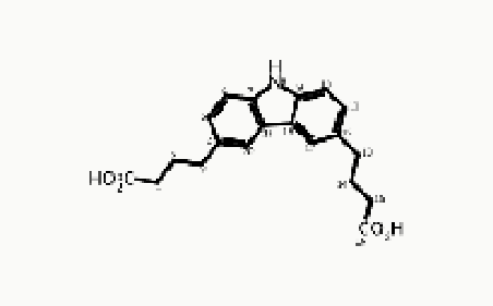 O=C(O)CCCc1ccc2[nH]c3ccc(CCCC(=O)O)cc3c2c1